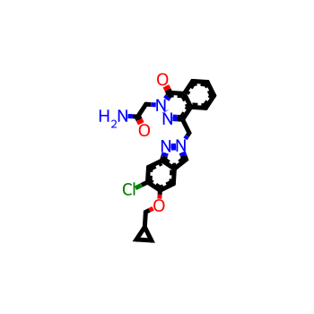 NC(=O)Cn1nc(Cn2cc3cc(OCC4CC4)c(Cl)cc3n2)c2ccccc2c1=O